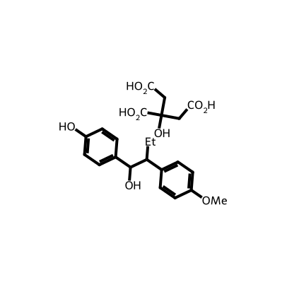 CCC(c1ccc(OC)cc1)C(O)c1ccc(O)cc1.O=C(O)CC(O)(CC(=O)O)C(=O)O